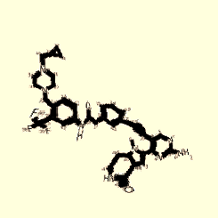 Cn1c(-c2nc(N)ncc2C#Cc2cccc(CC(=O)Nc3ccc(CN4CCN(CC5CC5)CC4)c(C(F)(F)F)c3)c2)cc2c1CCNC2=O